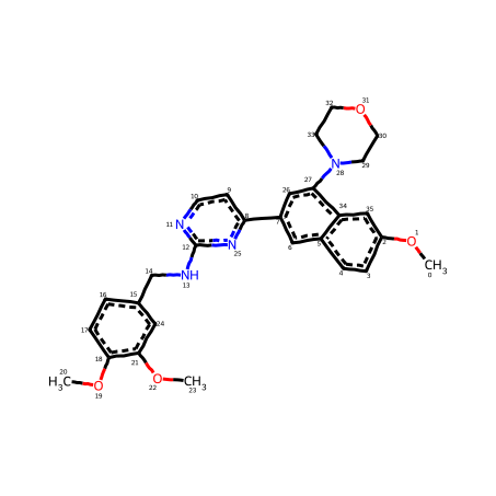 COc1ccc2cc(-c3ccnc(NCc4ccc(OC)c(OC)c4)n3)cc(N3CCOCC3)c2c1